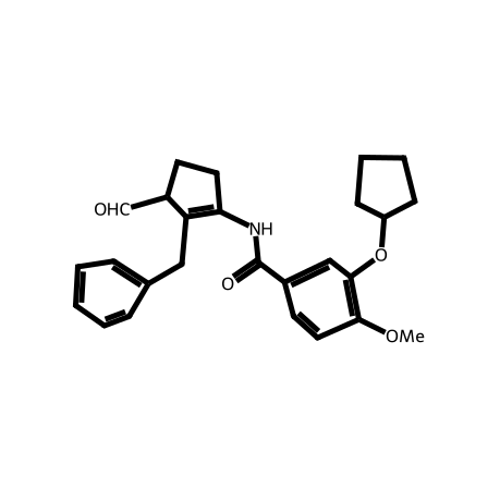 COc1ccc(C(=O)NC2=C(Cc3ccccc3)C(C=O)CC2)cc1OC1CCCC1